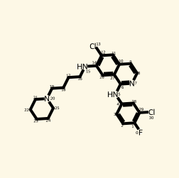 Fc1ccc(Nc2nccc3cc(Cl)c(NCCCCN4CCCCC4)cc23)cc1Cl